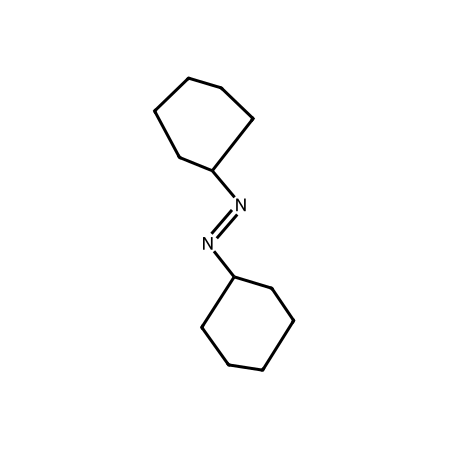 C1CCC(N=NC2CCCCC2)CC1